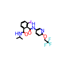 CC(C)NC(=O)c1cccc(I)c1C(=O)Nc1ccc(OCC(F)(F)F)nc1